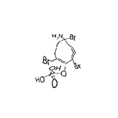 NC1(Br)C=C(Br)C(OP(=O)(O)O)=C(Br)C1